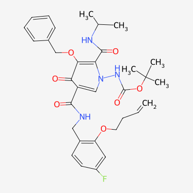 C=CCCOc1cc(F)ccc1CNC(=O)c1cn(NC(=O)OC(C)(C)C)c(C(=O)NC(C)C)c(OCc2ccccc2)c1=O